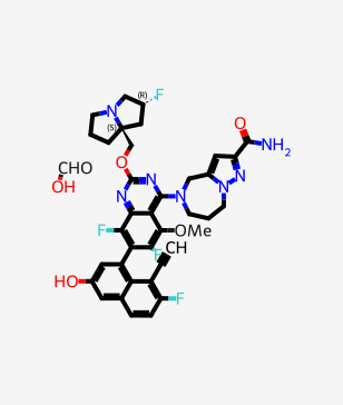 C#Cc1c(F)ccc2cc(O)cc(-c3c(F)c(OC)c4c(N5CCCn6nc(C(N)=O)cc6C5)nc(OC[C@@]56CCCN5C[C@H](F)C6)nc4c3F)c12.O=CO